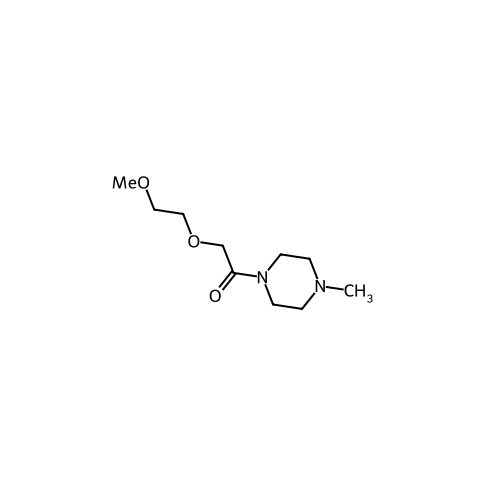 COCCOCC(=O)N1CCN(C)CC1